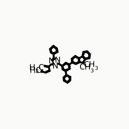 C#C/C=C\C(=C/C)c1nc(-c2ccccc2)nc(-c2cc(-c3ccccc3)cc(-c3ccc4c(c3)C(C)(C)c3ccccc3-4)c2)n1